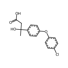 CC(O)(CC(=O)O)c1ccc(Oc2ccc(Cl)cc2)cc1